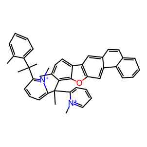 Cc1ccccc1C(C)(C)c1cccc(C(C)(c2c(C)ccc3c2oc2cc4c(ccc5ccccc54)cc23)c2cccc[n+]2C)[n+]1C